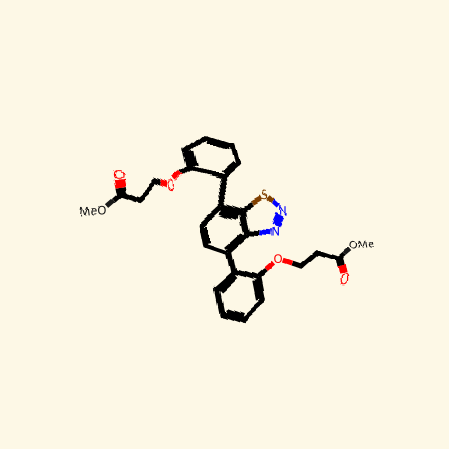 COC(=O)CCOc1ccccc1-c1ccc(-c2ccccc2OCCC(=O)OC)c2snnc12